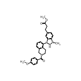 COC(=O)CCc1ccc2c(c1)N(c1cccc3c1CCN(C(=O)c1ccc(OC)cc1)C3)NN2C